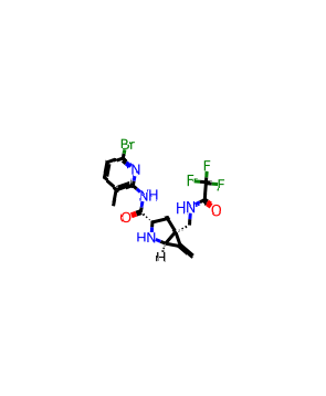 C=C1[C@H]2N[C@H](C(=O)Nc3nc(Br)ccc3C)C[C@@]12CNC(=O)C(F)(F)F